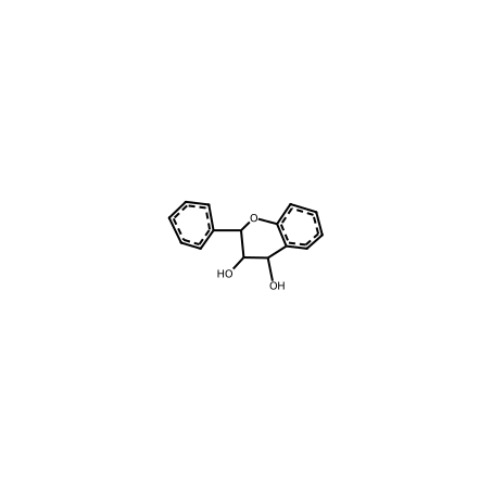 OC1c2ccccc2OC(c2ccccc2)C1O